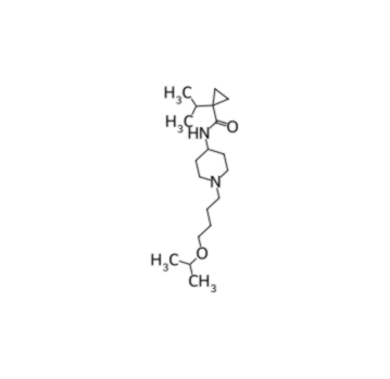 CC(C)OCCCCN1CCC(NC(=O)C2(C(C)C)CC2)CC1